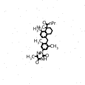 CCCC(=O)C1(C)CCCc2c(Cc3c(C)cc(-n4nc(C)c(=O)[nH]c4=O)cc3C)ccc(C)c21